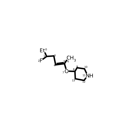 CCC(F)C/C=C(\C)OC1CCNCC1